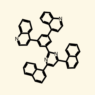 c1ccc2c(-c3cc(-c4cccc5ccccc45)nc(-c4cc(-c5ccnc6ccccc56)cc(-c5ccnc6ccccc56)c4)n3)cccc2c1